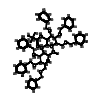 COC1OC(COCc2ccccc2)C(OCc2ccccc2)C(OCc2ccccc2)C1OC1OC(COCc2ccccc2)C(OCc2ccccc2)C(OCc2ccccc2)C1OC(=O)C(C)(C)C